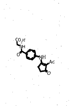 CC(=O)C1=C(Nc2ccc(C(=O)NCC(=O)O)cc2)CCC1=O